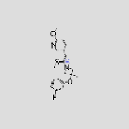 COc1ccc(/C=C(\SC)N2CC(C)(Oc3cccc(F)c3)C2)cn1